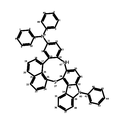 c1ccc(N(c2ccccc2)c2ccc3c(c2)-c2cccc4cccc(c24)Sc2c(ccc4c2c2ccccc2n4-c2ccccc2)N3)cc1